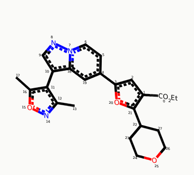 CCOC(=O)c1cc(-c2ccn3ncc(-c4c(C)noc4C)c3c2)oc1C1CCOCC1